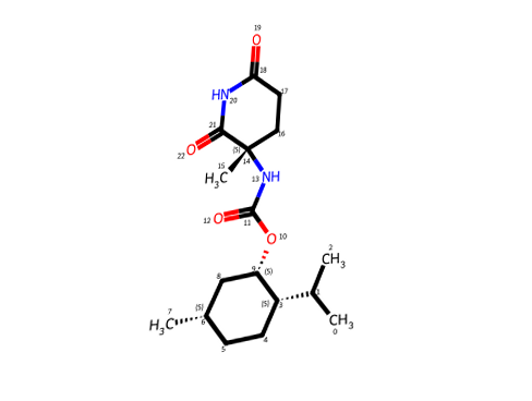 CC(C)[C@@H]1CC[C@H](C)C[C@@H]1OC(=O)N[C@@]1(C)CCC(=O)NC1=O